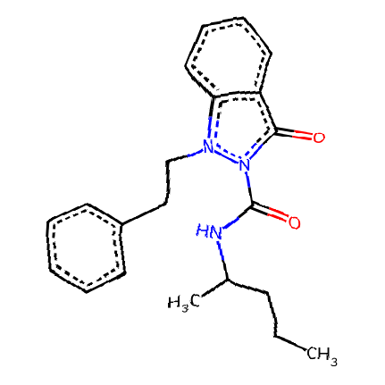 CCCC(C)NC(=O)n1c(=O)c2ccccc2n1CCc1ccccc1